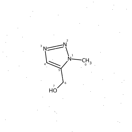 Cn1nncc1CO